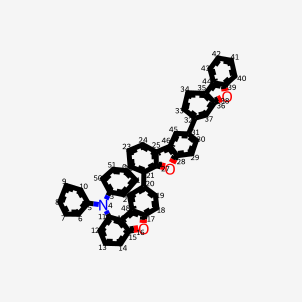 c1ccc(N(c2ccccc2)c2cccc3oc4ccc(-c5cccc6c5oc5ccc(-c7ccc8c(c7)oc7ccccc78)cc56)cc4c23)cc1